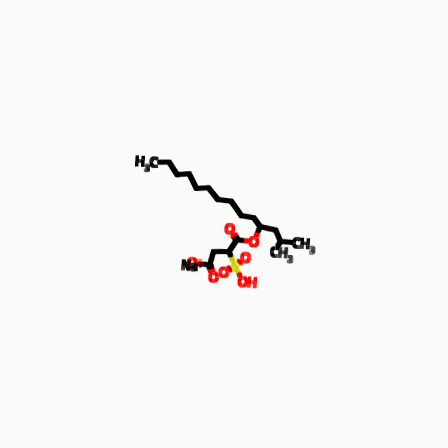 CCCCCCCCCCC(CC(C)C)OC(=O)C(CC(=O)[O-])S(=O)(=O)O.[Na+]